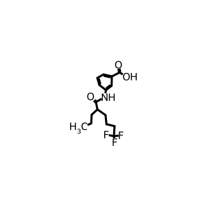 CCCC(CCCC(F)(F)F)C(=O)Nc1cccc(C(=O)O)c1